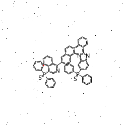 S=P(c1ccccc1)(c1ccccc1)c1ccc2nc3c4ccccc4c4ccc5cc(-c6ncc(P(=S)(c7ccccc7)c7ccccc7)c7ccccc67)ccc5c4n3c2c1